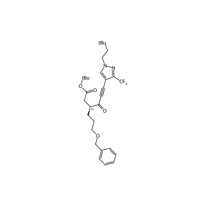 CC(C)(C)CCn1cc(C#CC(=O)[C@@H](CCCOCc2ccccc2)CC(=O)OC(C)(C)C)c(C(F)(F)F)n1